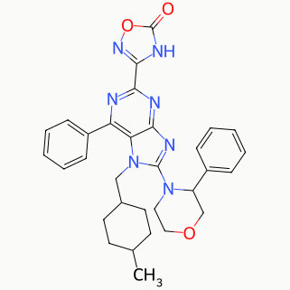 CC1CCC(Cn2c(N3CCOCC3c3ccccc3)nc3nc(-c4noc(=O)[nH]4)nc(-c4ccccc4)c32)CC1